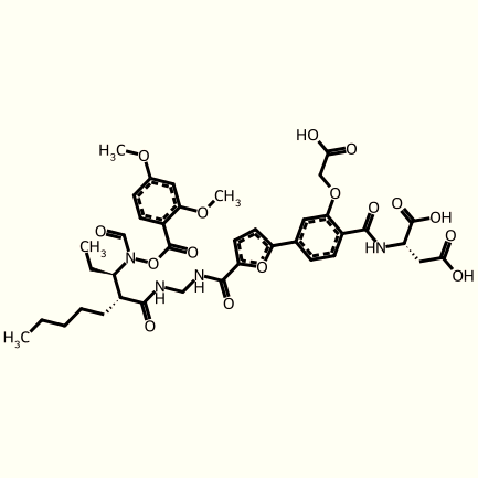 CCCCC[C@@H](C(=O)NCNC(=O)c1ccc(-c2ccc(C(=O)N[C@@H](CC(=O)O)C(=O)O)c(OCC(=O)O)c2)o1)[C@@H](CC)N(C=O)OC(=O)c1ccc(OC)cc1OC